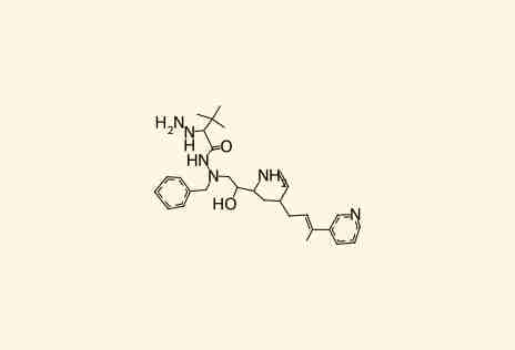 C=CC(C/C=C(\C)c1cccnc1)CC(N)C(O)CN(Cc1ccccc1)NC(=O)C(NN)C(C)(C)C